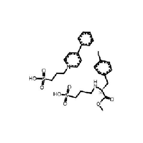 COC(=O)[C@H](Cc1ccc(I)cc1)NCCCS(=O)(=O)O.O=S(=O)(O)CCC[n+]1ccc(-c2ccccc2)cc1